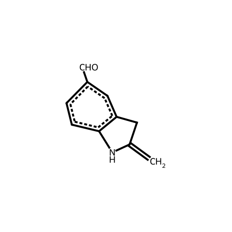 C=C1Cc2cc(C=O)ccc2N1